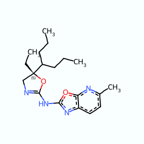 CCCC(CCC)[C@@]1(CC)CN=C(Nc2nc3ccc(C)nc3o2)O1